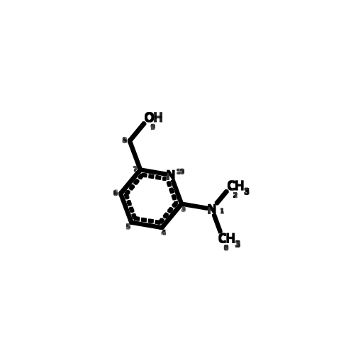 CN(C)c1cccc(CO)n1